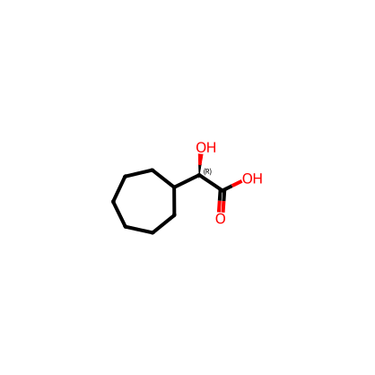 O=C(O)[C@H](O)C1CCCCCC1